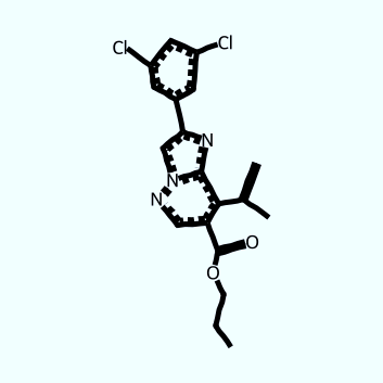 C=C(C)c1c(C(=O)OCCC)cnn2cc(-c3cc(Cl)cc(Cl)c3)nc12